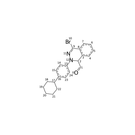 O=CC1c2ccccc2C(Br)=NN1c1ccc(C2CCCCC2)cc1